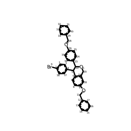 Brc1ccc(C2c3ccc(OCc4ccccc4)cc3COC2c2ccc(OCc3ccccc3)cc2)cc1